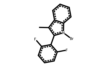 Cc1c(-c2c(F)cccc2F)n(Br)c2ccccc12